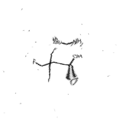 CC(C)(C)N.O=C(O)C(F)(F)F